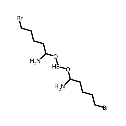 NC(CCCCBr)OBOC(N)CCCCBr